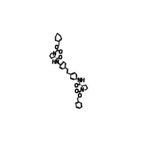 O=C(Nc1ccc(/C=C/c2ccc(NC(=O)[C@@H]3CCCN3C(=O)OCc3ccccc3)cc2)cc1)[C@@H]1CCCN1C(=O)OCC1=CCCC=C1